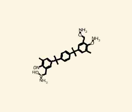 Cc1cc(C(C)(C)c2ccc(C(C)(C)c3cc(C)c(ON)c(CON)c3)cc2)cc(CN(N)O)c1N=O